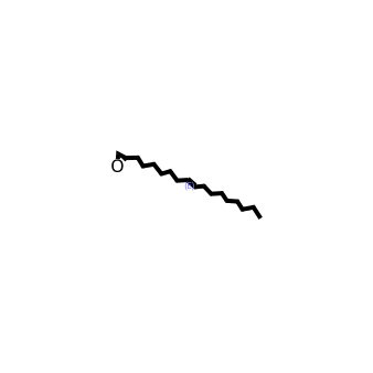 CCCCCCCC/C=C/CCCCCCC1CO1